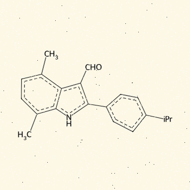 Cc1ccc(C)c2c(C=O)c(-c3ccc(C(C)C)cc3)[nH]c12